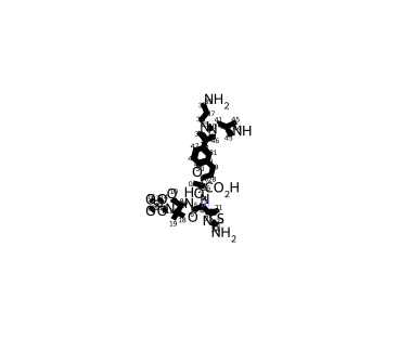 CC(O/N=C(\C(=O)N[C@@H]1C(=O)N(OS(=O)(=O)[O-])C1(C)C)c1csc(N)n1)(C(=O)O)[C@H]1CCc2cc(-c3cn(CCCN)[n+](CC4CNC4)c3)ccc2O1